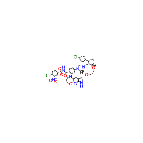 CC1(C)CC(c2ccc(Cl)cc2)=C2CN3CCN(c4ccc(C(=O)NS(=O)(=O)c5ccc(Cl)c([N+](=O)[O-])c5)c(N5CCCOc6nc7[nH]ccc7cc65)c4)C[C@H]3COCCCO[C@@H]2C1